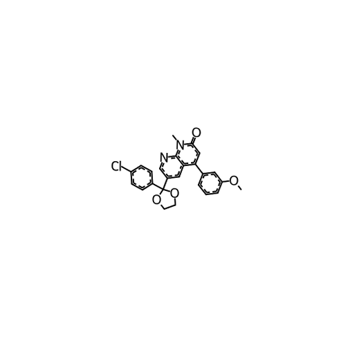 COc1cccc(-c2cc(=O)n(C)c3ncc(C4(c5ccc(Cl)cc5)OCCO4)cc23)c1